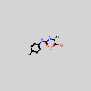 Cc1ccc(NC(=O)N[C@@H](C)C(=O)O)cc1